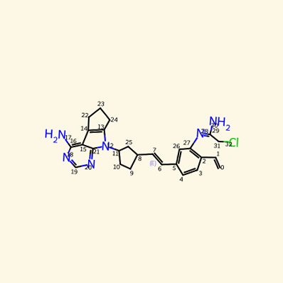 C=Cc1ccc(/C=C/C2CCC(n3c4c(c5c(N)ncnc53)CCC4)C2)cc1/N=C(/N)CCl